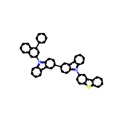 c1ccc(-c2cc(-n3c4ccccc4c4cc(-c5ccc6c(c5)c5ccccc5n6-c5ccc6sc7ccccc7c6c5)ccc43)cc3ccccc23)cc1